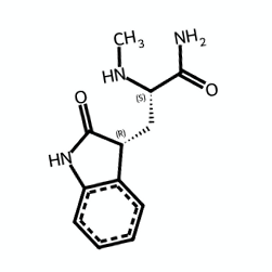 CN[C@@H](C[C@H]1C(=O)Nc2ccccc21)C(N)=O